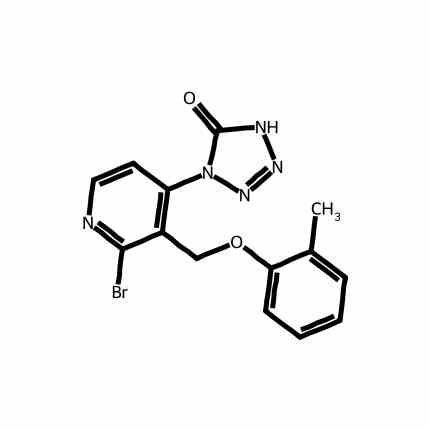 Cc1ccccc1OCc1c(-n2nn[nH]c2=O)ccnc1Br